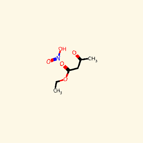 CCOC(=O)CC(C)=O.O=NO